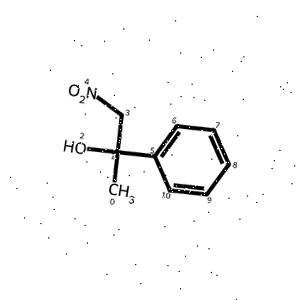 CC(O)(C[N+](=O)[O-])c1ccccc1